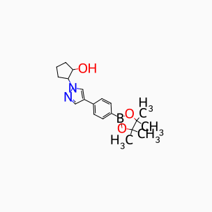 CC1(C)OB(c2ccc(-c3cnn(C4CCCC4O)c3)cc2)OC1(C)C